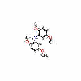 COc1[c]cc(OC)c(Nc2cc(OC)ccc2OC)c1